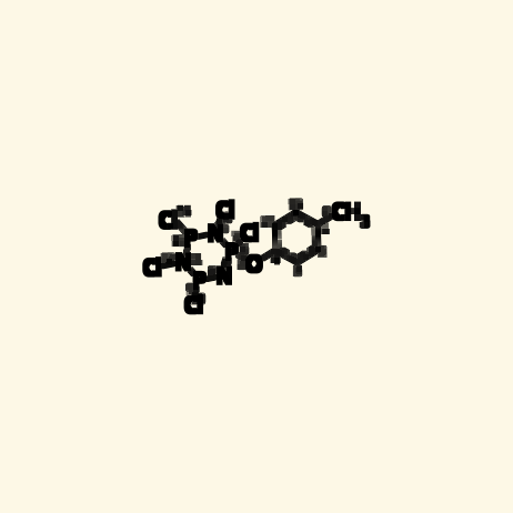 Cc1ccc(OP2(Cl)=NP(Cl)N(Cl)P(Cl)N2Cl)cc1